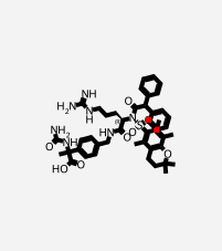 Cc1c(C)c(S(=O)(=O)N(C(=O)C(c2ccccc2)c2ccccc2)[C@H](CCCNC(=N)N)C(=O)NCc2ccc(C(C)(NC(N)=O)C(=O)O)cc2)c(C)c2c1OC(C)(C)CC2